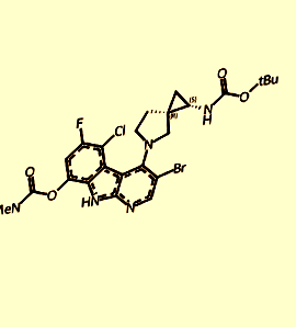 CNC(=O)Oc1cc(F)c(Cl)c2c1[nH]c1ncc(Br)c(N3CC[C@@]4(C[C@@H]4NC(=O)OC(C)(C)C)C3)c12